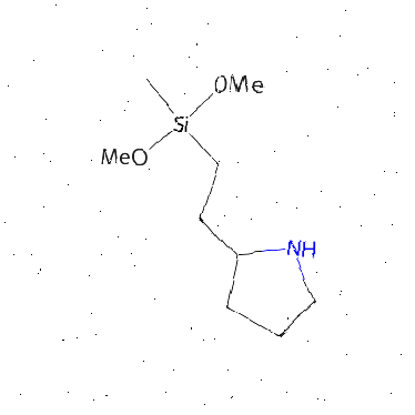 CO[Si](C)(CCC1CCCN1)OC